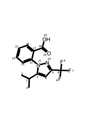 CC(C)c1cc(C(F)(F)F)nn1-c1ccccc1C(=O)O